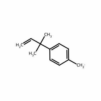 [CH2]c1ccc(C(C)(C)C=C)cc1